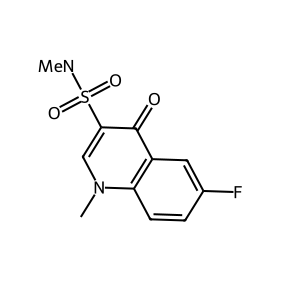 CNS(=O)(=O)c1cn(C)c2ccc(F)cc2c1=O